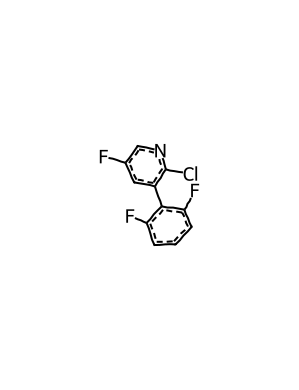 Fc1cnc(Cl)c(-c2c(F)cccc2F)c1